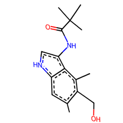 Cc1cc2[nH]cc(NC(=O)C(C)(C)C)c2c(C)c1CO